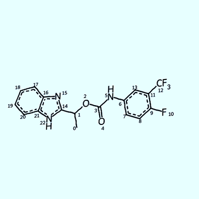 CC(OC(=O)Nc1ccc(F)c(C(F)(F)F)c1)c1nc2ccccc2[nH]1